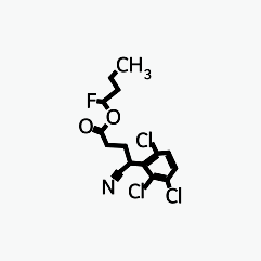 CCCC(F)OC(=O)CCC(C#N)c1c(Cl)ccc(Cl)c1Cl